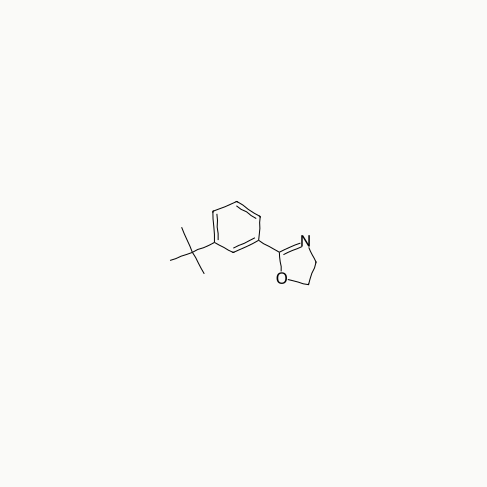 CC(C)(C)c1cccc(C2=NCCO2)c1